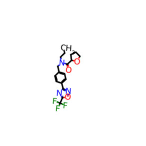 CCCN(Cc1ccc(-c2noc(C(F)(F)F)n2)cc1)C(=O)C1CCCO1